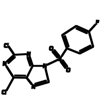 O=S(=O)(c1ccc(F)cc1)n1cnc2c(Cl)nc(Cl)nc21